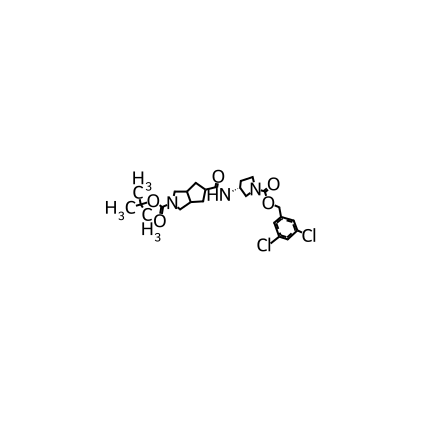 CC(C)(C)OC(=O)N1CC2CC(C(=O)N[C@@H]3CCN(C(=O)OCc4cc(Cl)cc(Cl)c4)C3)CC2C1